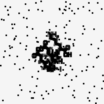 NCCCC[C@H](N)C(=O)O.O=C([O-])C=Cc1c[nH]cn1.O=C([O-])C=Cc1c[nH]cn1.[Se+2]